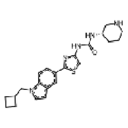 O=C(Nc1csc(-c2ccc3c(ccn3CC3CCC3)c2)n1)N[C@H]1CCCNC1